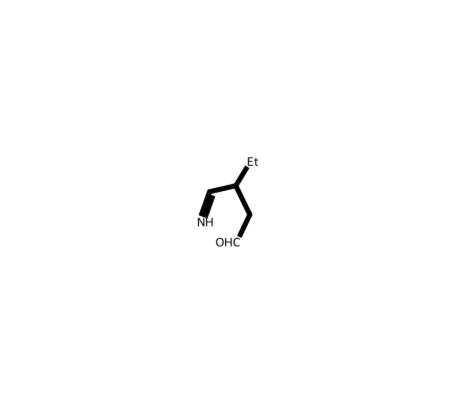 CCC(C=N)CC=O